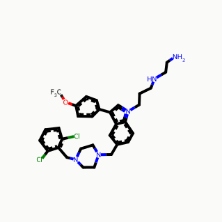 NCCNCCCn1cc(-c2ccc(OC(F)(F)F)cc2)c2cc(CN3CCN(Cc4c(Cl)cccc4Cl)CC3)ccc21